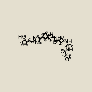 CC[C@@H](CNC(=O)C1CCOC1)NC1CC(C(=O)Nc2nc3ccc(-c4cnc(CO[C@H]5CCC[C@@H]5O)nc4)cc3s2)C1